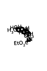 CCOC(=O)c1cnn(CC(=O)[C@@]23C4[C@@H]([C@H]5[C@@H]6CC[C@@H]7C[C@](C)(O)CC[C@@H]7[C@H]6CC[C@@]52C)[C@H]43)c1